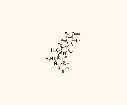 COc1c(F)cc(N2C(=O)N(Cc3cc(N)nc4ccccc34)C(C)(C)C2=O)c(F)c1F